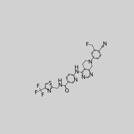 N#Cc1ccc(N2CCc3c(ncnc3Nc3ccc(C(=O)NCc4nc(C(F)(F)F)cs4)cn3)C2)cc1CF